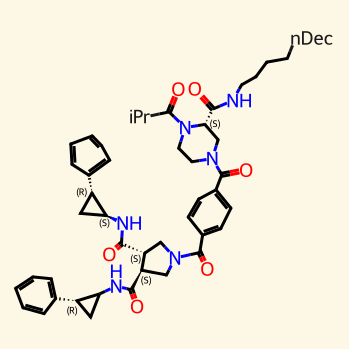 CCCCCCCCCCCCCCNC(=O)[C@@H]1CN(C(=O)c2ccc(C(=O)N3C[C@@H](C(=O)NC4C[C@@H]4c4ccccc4)[C@H](C(=O)N[C@H]4C[C@@H]4c4ccccc4)C3)cc2)CCN1C(=O)C(C)C